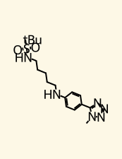 Cn1nnnc1-c1ccc(NCCCCCNS(=O)(=O)C(C)(C)C)cc1